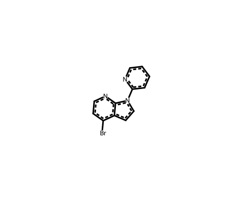 Brc1ccnc2c1ccn2-c1ccccn1